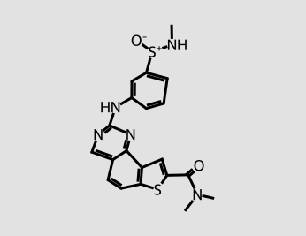 CN[S+]([O-])c1cccc(Nc2ncc3ccc4sc(C(=O)N(C)C)cc4c3n2)c1